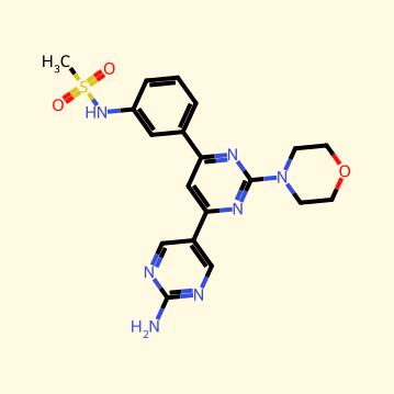 CS(=O)(=O)Nc1cccc(-c2cc(-c3cnc(N)nc3)nc(N3CCOCC3)n2)c1